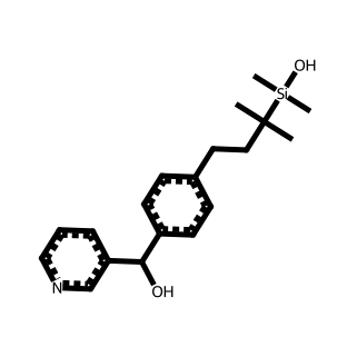 CC(C)(CCc1ccc(C(O)c2cccnc2)cc1)[Si](C)(C)O